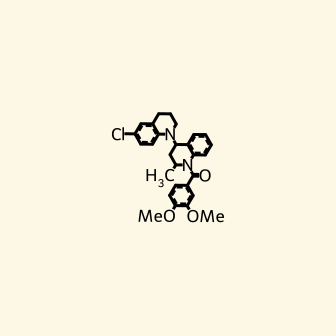 COc1ccc(C(=O)N2c3ccccc3C(N3CCCc4cc(Cl)ccc43)CC2C)cc1OC